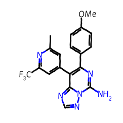 COc1ccc(-c2nc(N)n3ncnc3c2-c2cc(C)nc(C(F)(F)F)c2)cc1